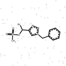 CC(=O)C(OS(C)(=O)=O)c1cn(Cc2ccccc2)nn1